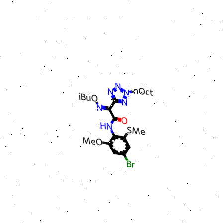 CCCCCCCCn1nnc(C(=NOCC(C)C)C(=O)Nc2c(OC)cc(Br)cc2SC)n1